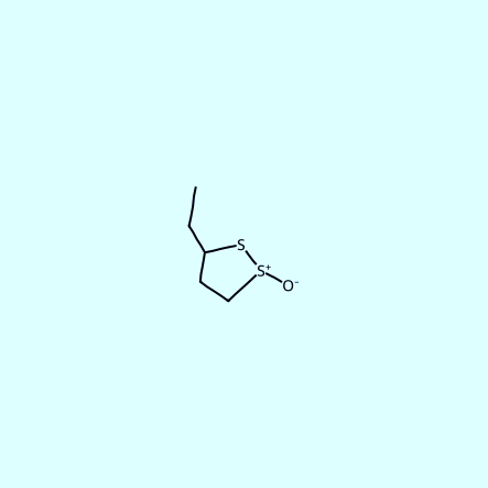 CCC1CC[S+]([O-])S1